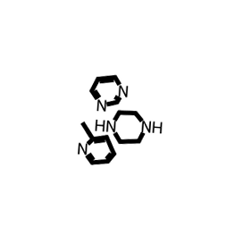 C1CNCCN1.Cc1ccccn1.c1cncnc1